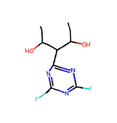 CC(O)C(c1nc(F)nc(F)n1)C(C)O